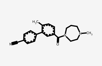 Cc1ccc(C(=O)N2CCCN(C)CC2)cc1-c1ccc(C#N)cc1